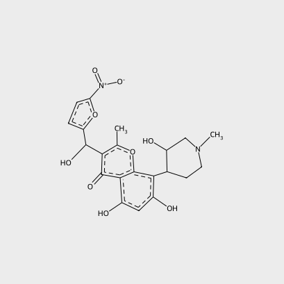 Cc1oc2c(C3CCN(C)CC3O)c(O)cc(O)c2c(=O)c1C(O)c1ccc([N+](=O)[O-])o1